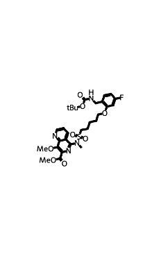 COC(=O)c1nc(N(C)S(=O)(=O)CCCCCOc2cc(F)ccc2CNC(=O)OC(C)(C)C)c2cccnc2c1OC